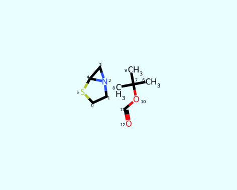 C1CN2CC2S1.CC(C)(C)OC=O